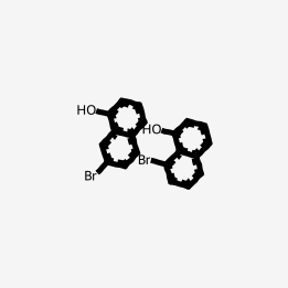 Oc1cccc2ccc(Br)cc12.Oc1cccc2cccc(Br)c12